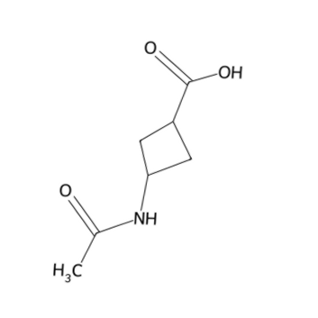 CC(=O)NC1CC(C(=O)O)C1